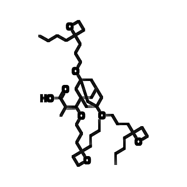 CCCCC1(CCCOC(=C(C)C(=O)O)C23CC4CC(OCCCC5(CCCC)CCO5)(CC(OCCCC5(CCCC)CCO5)(C4)C2)C3)CCO1